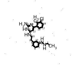 CCNNc1cccc(CCNC2C=C(c3cccc(Cl)c3C)N=C(N)N2)c1